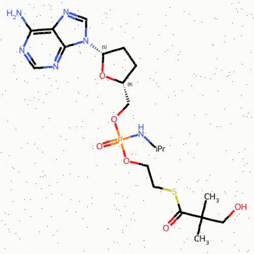 CC(C)NP(=O)(OCCSC(=O)C(C)(C)CO)OC[C@H]1CC[C@@H](n2cnc3c(N)ncnc32)O1